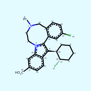 CC(C)N1CCn2c(c([C@H]3CCCC[C@@H]3F)c3ccc(C(=O)O)cc32)-c2cc(F)ccc2C1